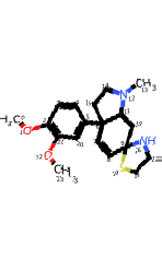 COc1ccc(C23C=CC4(CC2N(C)CC3)NCCS4)cc1OC